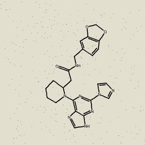 O=C(CC1CCCCN1c1nc(-n2ccnc2)nc2[nH]cnc12)NCc1ccc2c(c1)OCO2